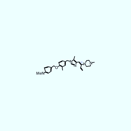 C=C/C(=C\c1ncn(Cc2ccc(OCc3ccc(NC)cc3)c(C)c2)c1C)N1CCN(C)CC1